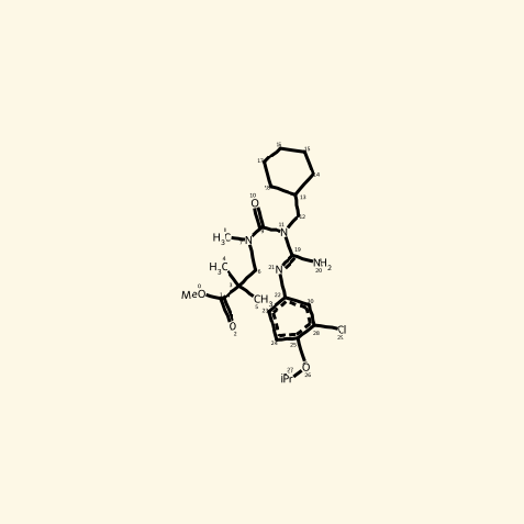 COC(=O)C(C)(C)CN(C)C(=O)N(CC1CCCCC1)/C(N)=N/c1ccc(OC(C)C)c(Cl)c1